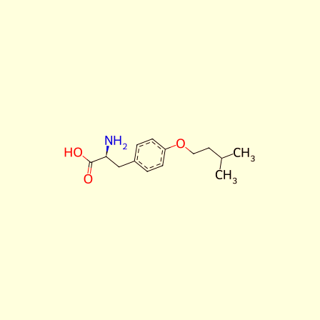 CC(C)CCOc1ccc(C[C@H](N)C(=O)O)cc1